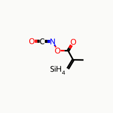 C=C(C)C(=O)ON=C=O.[SiH4]